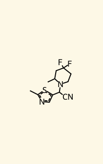 Cc1ncc(C(C#N)N2CCC(F)(F)CC2C)s1